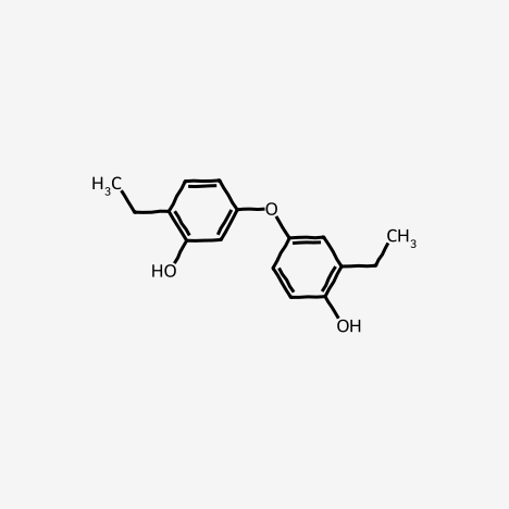 CCc1ccc(Oc2ccc(O)c(CC)c2)cc1O